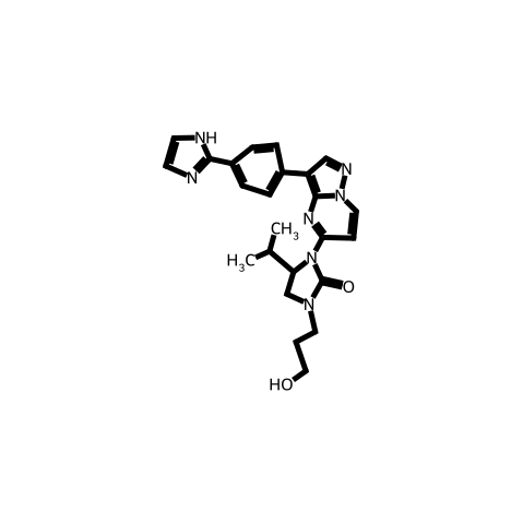 CC(C)C1CN(CCCO)C(=O)N1c1ccn2ncc(-c3ccc(-c4ncc[nH]4)cc3)c2n1